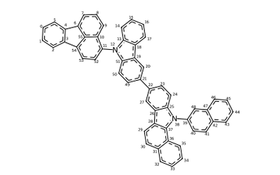 c1ccc2c(c1)-c1cccc3c(-n4c5ccccc5c5cc(-c6ccc7c(c6)c6ccc8ccccc8c6n7-c6ccc7ccccc7c6)ccc54)ccc-2c13